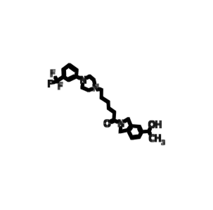 CC(O)c1ccc2c(c1)CN(C(=O)CCCCCN1CCN(c3cccc(C(F)(F)F)c3)CC1)C2